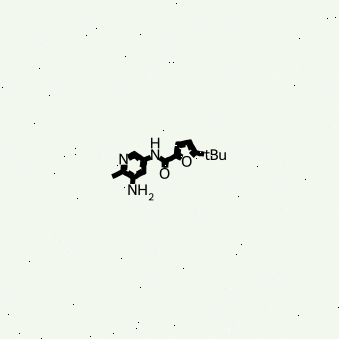 Cc1ncc(NC(=O)c2ccc(C(C)(C)C)o2)cc1N